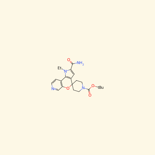 CCn1c(C(N)=O)cc2c1-c1ccncc1OC21CCN(C(=O)OC(C)(C)C)CC1